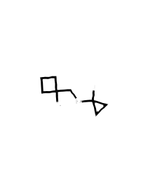 CC(C)C1(NCC2(O)CCC2)CC1